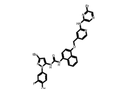 CCc1cncc(Nc2cc(COc3ccc(NC(=O)Nc4cc(C(C)(C)C)nn4-c4ccc(C)c(F)c4)c4ccccc34)ccn2)n1